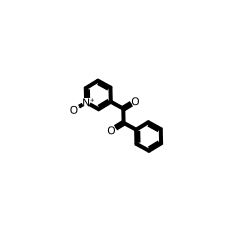 O=C(C(=O)c1ccc[n+]([O-])c1)c1ccccc1